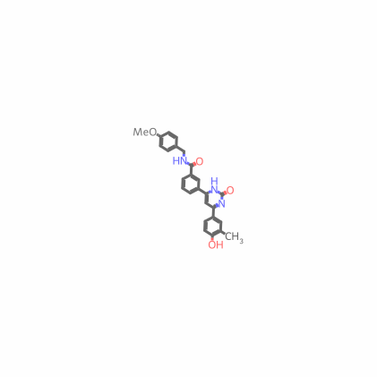 COc1ccc(CNC(=O)c2cccc(-c3cc(-c4ccc(O)c(C)c4)nc(=O)[nH]3)c2)cc1